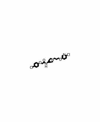 O=C(COc1ccc(Cl)cc1)NC1C2CN(CCCOc3ccc(Cl)nc3)CC21